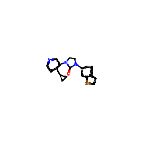 O=C1N(c2ccc3ccsc3c2)CCN1c1cnccc1C1CC1